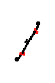 CC(C)C(CCCCCCCCC(=O)OCCCC1CCCC1)CCCCCCCCC(=O)OCCCC1CCCC1